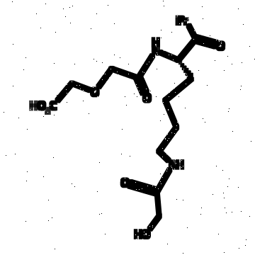 CC(C)C(=O)[C@H](CCCCNC(=O)CO)NC(=O)COCC(=O)O